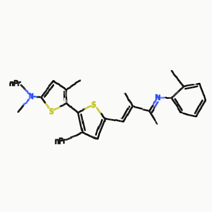 CCCc1cc(/C=C(C)/C(C)=N/c2ccccc2C)sc1-c1sc(N(C)CCC)cc1C